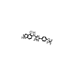 Cn1nc(-c2ccc(OC(F)(F)F)cc2)nc1Nc1ccc2[nH]ncc2c1Cl